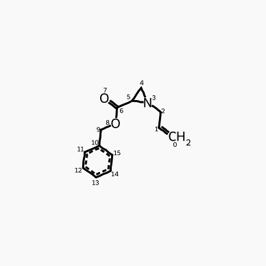 C=CCN1CC1C(=O)OCc1ccccc1